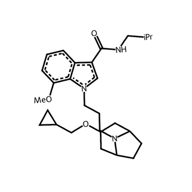 COc1cccc2c(C(=O)NCC(C)C)cn(CCCN3C4CCC3CC(OCC3CC3)C4)c12